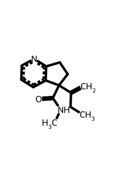 C=C(CC)C1(C(=O)NC)CCc2ncccc21